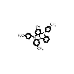 CC(C)c1cc2c3c(c1)N(c1ccc(C(F)(F)F)cc1)c1ccc(C(F)(F)F)cc1B3c1ccccc1N2c1ccc(C(F)(F)F)cc1